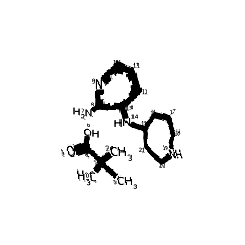 CC(C)(C)C(=O)O.Nc1ncccc1NC1CCCNCC1